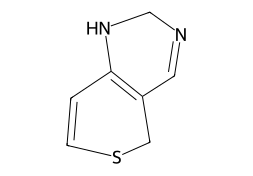 C1=CC2=C(C=NCN2)CS1